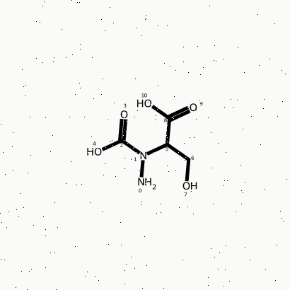 NN(C(=O)O)C(CO)C(=O)O